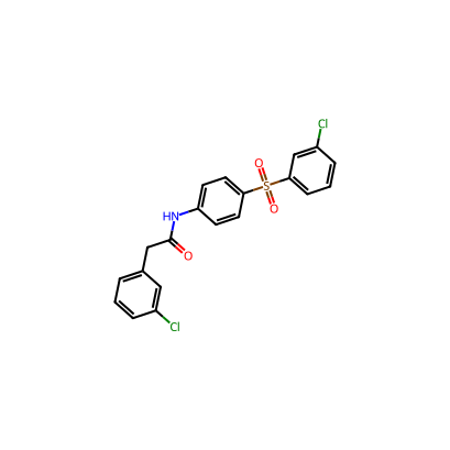 O=C(Cc1cccc(Cl)c1)Nc1ccc(S(=O)(=O)c2cccc(Cl)c2)cc1